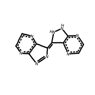 c1cnc2c(n1)N=NC2=C1NNc2nccnc21